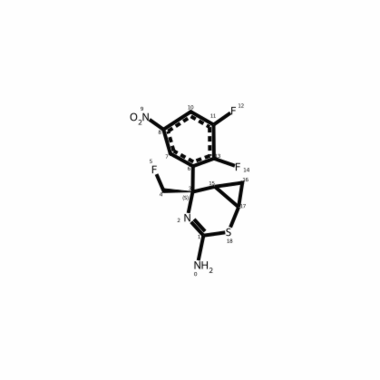 NC1=N[C@](CF)(c2cc([N+](=O)[O-])cc(F)c2F)C2CC2S1